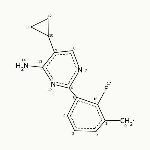 [CH2]c1cccc(-c2ncc(C3CC3)c(N)n2)c1F